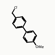 COc1ccc(-c2ccc(CCl)cc2)cc1